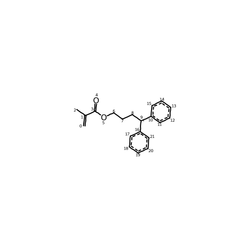 C=C(C)C(=O)OCCC[C](c1ccccc1)c1ccccc1